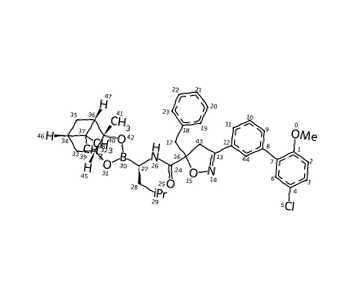 COc1ccc(Cl)cc1-c1cccc(C2=NOC(Cc3ccccc3)(C(=O)N[C@@H](CC(C)C)B3O[C@@H]4C[C@@H]5C[C@@H](C5(C)C)[C@]4(C)O3)C2)c1